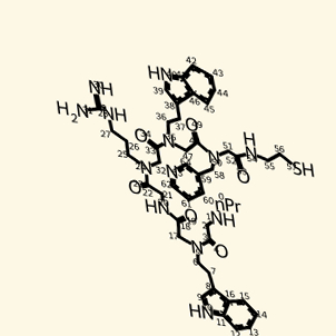 CCCNCC(=O)N(CCc1c[nH]c2ccccc12)CC(=O)NCC(=O)N(CCCNC(=N)N)CC(=O)N(CCc1c[nH]c2ccccc12)CC(=O)N(CC(=O)NCCS)Cc1cccnc1